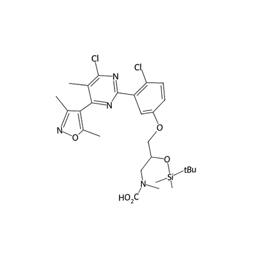 Cc1noc(C)c1-c1nc(-c2cc(OCC(CN(C)C(=O)O)O[Si](C)(C)C(C)(C)C)ccc2Cl)nc(Cl)c1C